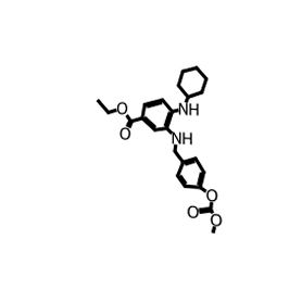 CCOC(=O)c1ccc(NC2CCCCC2)c(NCc2ccc(OC(=O)OC)cc2)c1